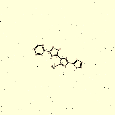 Nc1nc(-c2ccco2)cn1-c1nc(-c2ccccc2)cs1